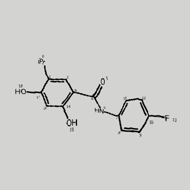 CC(C)c1cc(C(=O)Nc2ccc(F)cc2)c(O)cc1O